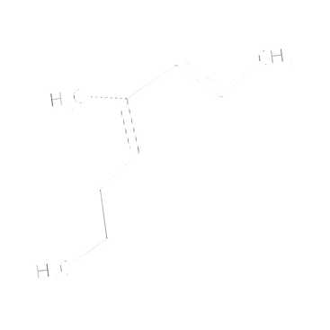 CC=CC(C)=CCCC